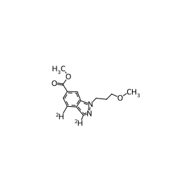 [2H]c1cc(C(=O)OC)cc2c1c([2H])nn2CCCOC